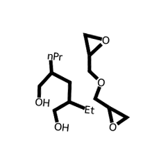 C(OCC1CO1)C1CO1.CCCC(CO)CC(CC)CO